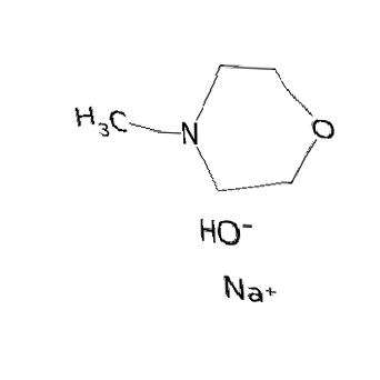 CN1CCOCC1.[Na+].[OH-]